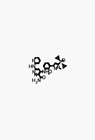 COc1c(Nc2cc(Nc3ccccn3)nnc2C(N)=O)cccc1-c1cc(P(=O)(C2CC2)C2CC2)n(C)n1